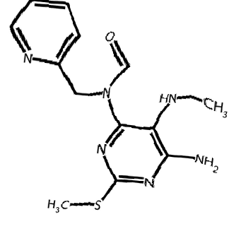 CNc1c(N)nc(SC)nc1N(C=O)Cc1ccccn1